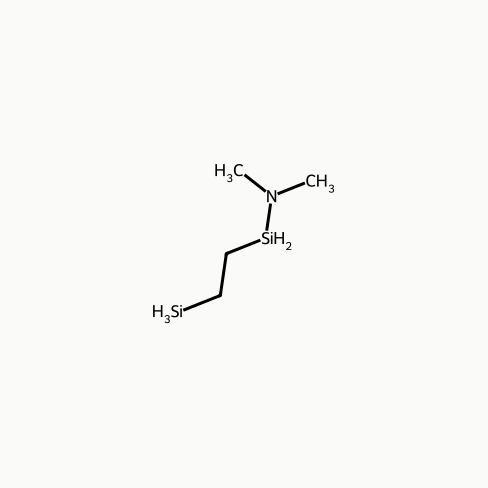 CN(C)[SiH2]CC[SiH3]